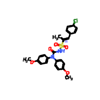 COc1ccc(N(C(=O)NS(=O)(=O)/C(C)=C/c2ccc(Cl)cc2)c2ccc(OC)cc2)cc1